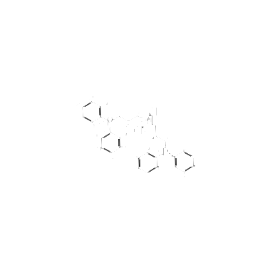 [Cl][Pd]([Cl])([CH2]CCP(c1ccccc1)c1ccccc1)[CH2]CCP(c1ccccc1)c1ccccc1